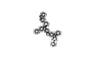 c1ccc(-c2ccc3c(c2)c2cc(Oc4ccc5c(c4)c4cc(-c6ccccc6)ccc4n5-c4cccc(-c5ccc6sc7ccccc7c6c5)c4)ccc2n3-c2ccccc2)cc1